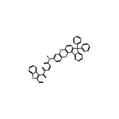 C=Cc1oc2ccccc2c1C(=C)C(=C)/C=C\C(=C)N(C)c1ccc2c(c1)Oc1ccc3c(c1O2)-c1ccccc1C3(c1ccccc1)c1ccccc1